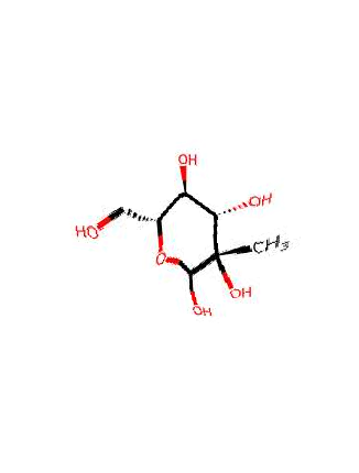 C[C@@]1(O)C(O)O[C@H](CO)[C@@H](O)[C@@H]1O